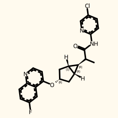 CC(C(=O)Nc1ccc(Cl)cn1)[C@H]1[C@@H]2C[C@H](Oc3ccnc4ccc(F)cc34)C[C@@H]21